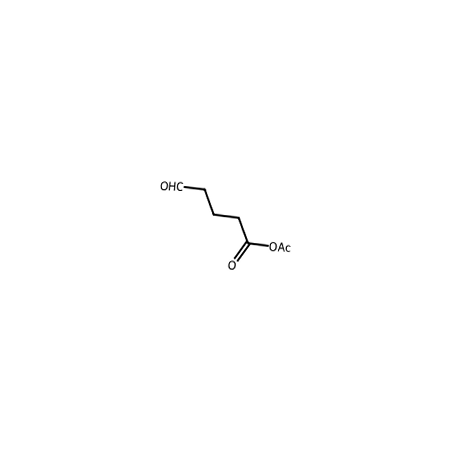 CC(=O)OC(=O)CCCC=O